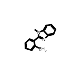 Bc1ccccc1-c1nc2ccccc2n1C